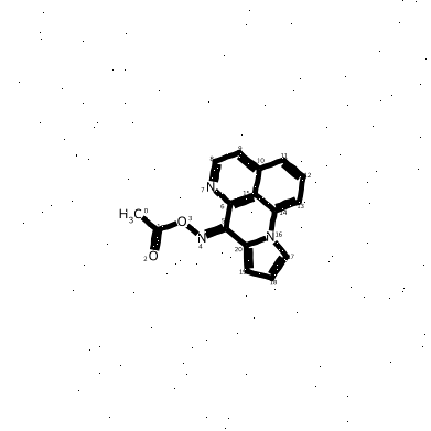 CC(=O)ON=c1c2nccc3cccc(c32)n2cccc12